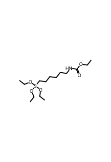 CCOC(=O)NCCCCCC[Si](OCC)(OCC)OCC